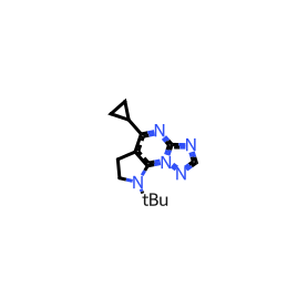 CC(C)(C)N1CCc2c(C3CC3)nc3ncnn3c21